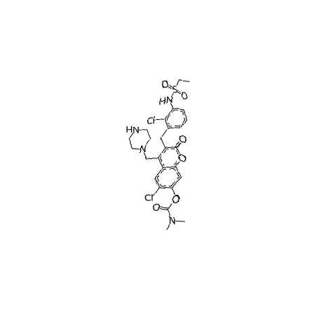 CCS(=O)(=O)Nc1cccc(Cc2c(CN3CCNCC3)c3cc(Cl)c(OC(=O)N(C)C)cc3oc2=O)c1Cl